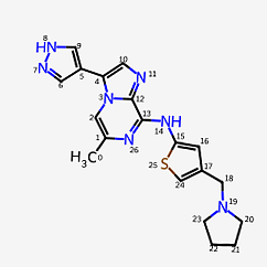 Cc1cn2c(-c3cn[nH]c3)cnc2c(Nc2cc(CN3CCCC3)cs2)n1